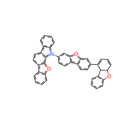 C1=CC2Oc3ccccc3C2C(c2ccc3c(c2)oc2cc(-n4c5ccccc5c5ccc6c7ccccc7oc6c54)ccc23)=C1